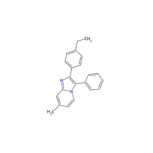 CCc1ccc(-c2nc3cc(C)ccn3c2-c2ccccc2)cc1